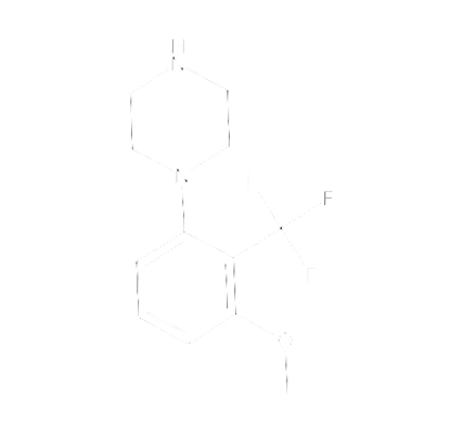 COc1cccc(N2CCNCC2)c1C(F)(F)F